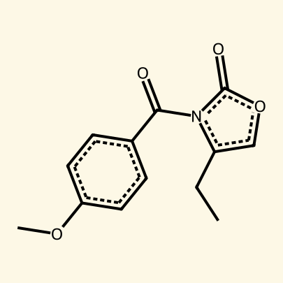 CCc1coc(=O)n1C(=O)c1ccc(OC)cc1